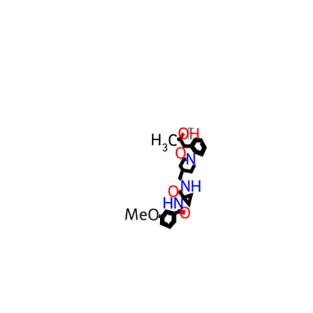 COc1cccc(C(=O)NC2(C(=O)NCC3CCN(c4cccc(F)c4C(=O)C(C)O)CC3)CC2)c1